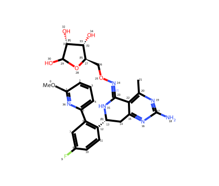 COc1cccc(-c2cc(F)ccc2[C@H]2Cc3nc(N)nc(C)c3/C(=N/OC[C@H]3OC(O)[C@H](O)[C@@H]3O)N2)n1